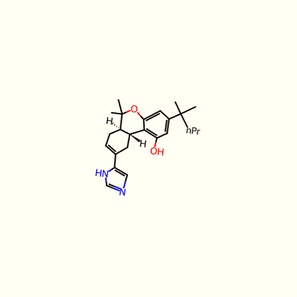 CCCC(C)(C)c1cc(O)c2c(c1)OC(C)(C)[C@@H]1CC=C(c3cnc[nH]3)C[C@@H]21